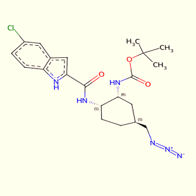 CC(C)(C)OC(=O)N[C@@H]1C[C@@H](CN=[N+]=[N-])CC[C@@H]1NC(=O)c1cc2cc(Cl)ccc2[nH]1